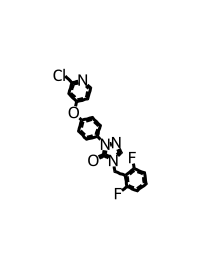 O=c1n(Cc2c(F)cccc2F)cnn1-c1ccc(Oc2ccnc(Cl)c2)cc1